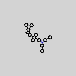 CC1(C)c2ccc(-c3c4ccccc4c(-c4ccc(N(c5ccc(-c6ccccc6)cc5)c5ccc(-c6ccccc6)cc5)cc4)c4ccccc34)cc2-c2cc3c4ccccc4c4ccccc4c3cc21